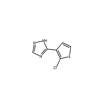 Clc1sccc1-c1ncn[nH]1